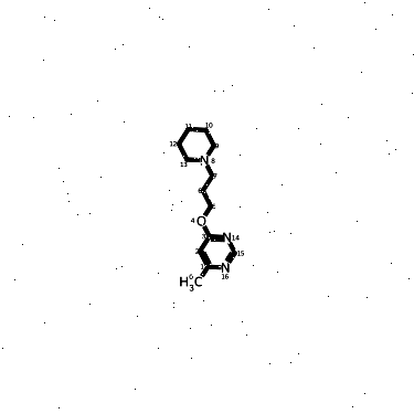 Cc1cc(OCCCN2CCCCC2)ncn1